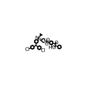 O=C(c1ccc(S(=O)(=O)N2CCC(n3c(C4CC4)nc4ccc(C(c5ccc(Cl)cc5)c5ccc(Cl)cc5)cc43)CC2)cc1F)C(O)c1ccccc1